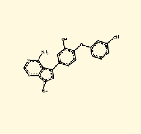 CC(C)(C)n1cc(-c2ccc(Oc3cccc(O)c3)c(O)c2)c2c(N)ncnc21